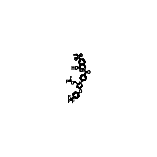 CCS(=O)(=O)c1ccc(CNC(=O)c2ccc(N3C[C@@H](Oc4ccc(C(F)(F)F)cc4)C[C@H]3COC(F)F)cc2)c(C(=O)O)c1